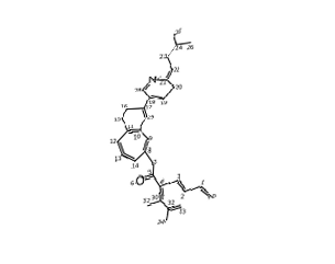 C=C/C=C/C(C(=O)CC1=CC2=C(C=C=C1)CCC(C1=CC/C(=C/CC(C)C)N=C1)=C2)=C(/C)C(=C)C